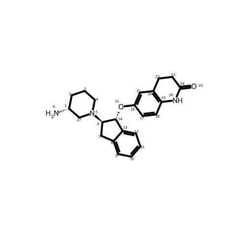 N[C@@H]1CCCN([C@@H]2Cc3ccccc3[C@H]2Oc2ccc3c(c2)CCC(=O)N3)C1